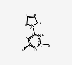 Cc1nc(I)cc(N2CC=CC2)n1